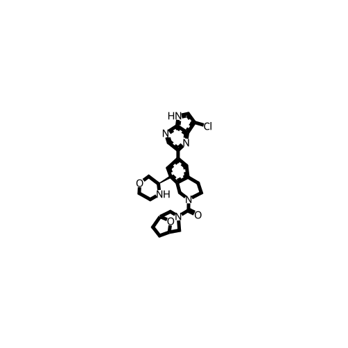 O=C(N1CCc2cc(-c3cnc4[nH]cc(Cl)c4n3)cc([C@@H]3COCCN3)c2C1)N1CC2CCC(C1)O2